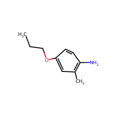 CCCOc1ccc(N)c(C)c1